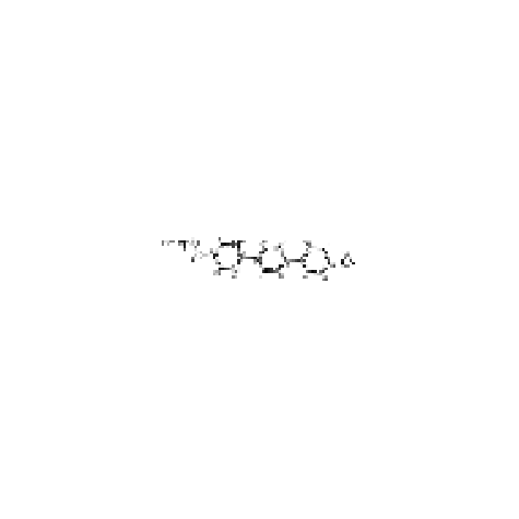 CCCCCCCOc1cnc(-c2ccc(-c3ccc(C#N)cc3)cc2)nc1